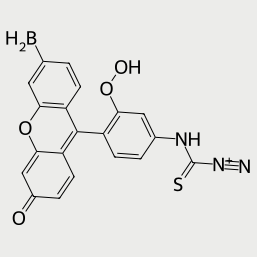 Bc1ccc2c(-c3ccc(NC(=S)[N+]#N)cc3OO)c3ccc(=O)cc-3oc2c1